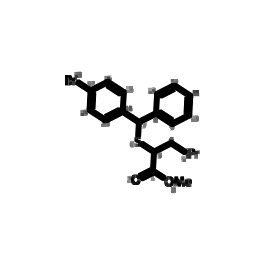 COC(=O)C(CC(C)C)SC(c1ccccc1)c1ccc(Br)cc1